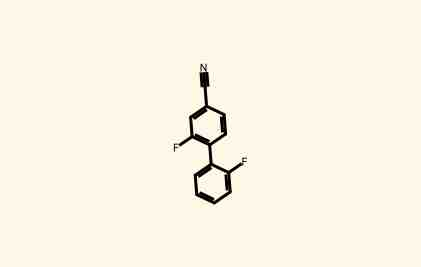 N#Cc1ccc(-c2ccccc2F)c(F)c1